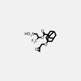 O=C(OC(CS(=O)(=O)O)C(F)(F)F)C12CC3CC(CC(OCC4CO4)(C3)C1)C2